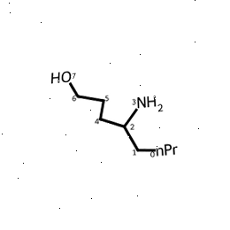 CCCCC(N)CCCO